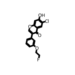 O=c1c(-c2cccc(OCCF)c2)coc2cc(O)c(Cl)cc12